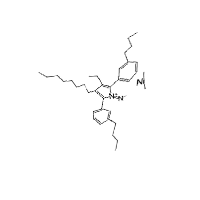 CCCCCCCCC1=C(c2cccc(CCCC)c2)[N+](=[N-])C(c2cccc(CCCC)c2)=C1CC.[CH3][Ni][CH3]